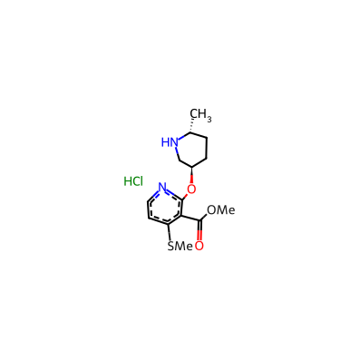 COC(=O)c1c(SC)ccnc1O[C@@H]1CC[C@@H](C)NC1.Cl